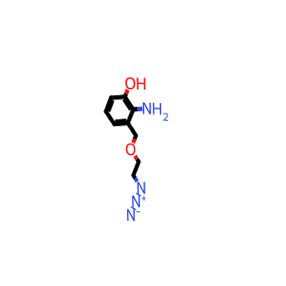 [N-]=[N+]=NCCOCc1cccc(O)c1N